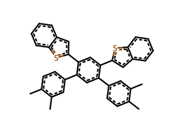 Cc1ccc(-c2cc(-c3ccc(C)c(C)c3)c(-c3cc4ccccc4s3)cc2-c2cc3ccccc3s2)cc1C